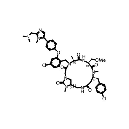 COC[C@@H]1NC(=O)[C@H](C)N(Cc2ccc(Cl)cc2Oc2ccc(-c3cnc(CN(C)C)n3C)cc2)C(=O)CN2C[C@H](CNC(=O)C[C@H](Cc3ccc(Cl)cc3)N(C)C1=O)N(C)C2=O